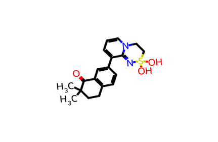 CC1(C)CCc2ccc(C3=CC=CN4CCS(O)(O)N=C34)cc2C1=O